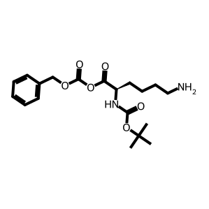 CC(C)(C)OC(=O)N[C@H](CCCCN)C(=O)OC(=O)OCc1ccccc1